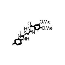 COc1cc2nc(C=[SH]c3nc4cc(C)ccc4[nH]3)[nH]c(=O)c2cc1OC